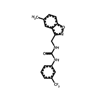 Cc1ccc2onc(CNC(=O)Nc3cccc(C(F)(F)F)c3)c2c1